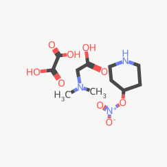 CN(C)CC(=O)O.O=C(O)C(=O)O.O=[N+]([O-])OC1CCNCC1